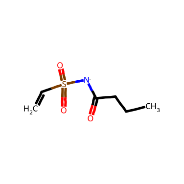 C=CS(=O)(=O)[N]C(=O)CCC